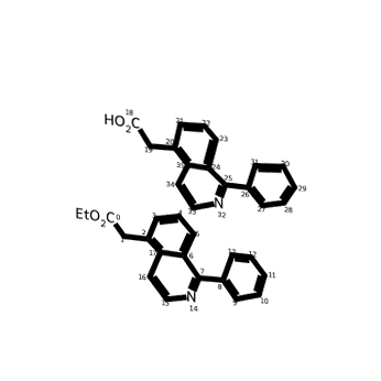 CCOC(=O)Cc1cccc2c(-c3ccccc3)nccc12.O=C(O)Cc1cccc2c(-c3ccccc3)nccc12